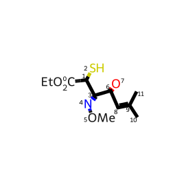 CCOC(=O)C(S)C(=NOC)C(=O)C=C(C)C